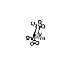 CC1(Cc2ccccc2)C2=C(c3ccccc3C3=CC=CCC32)N(CCC(=O)O)\C1=C/C=C/C=C/C1=[N+](CCC(=O)O)c2c(c3ccccc3c3ccccc23)C1(C)Cc1ccccc1